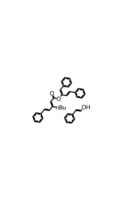 CCCCC(C=Cc1ccccc1)=CC(=O)OC(C=Cc1ccccc1)=Cc1ccccc1.OC=Cc1ccccc1